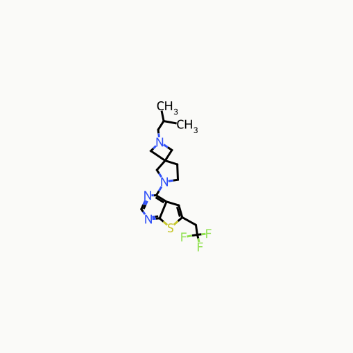 CC(C)CN1CC2(CCN(c3ncnc4sc(CC(F)(F)F)cc34)C2)C1